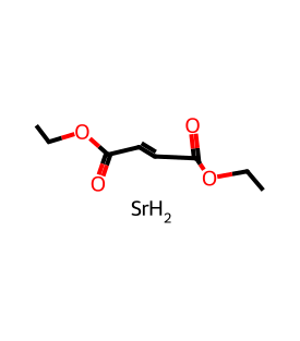 CCOC(=O)/C=C/C(=O)OCC.[SrH2]